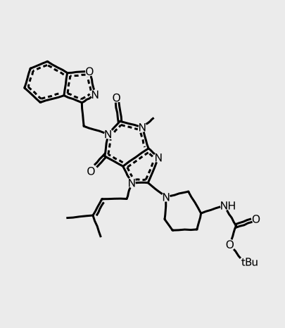 CC(C)=CCn1c(N2CCCC(NC(=O)OC(C)(C)C)C2)nc2c1c(=O)n(Cc1noc3ccccc13)c(=O)n2C